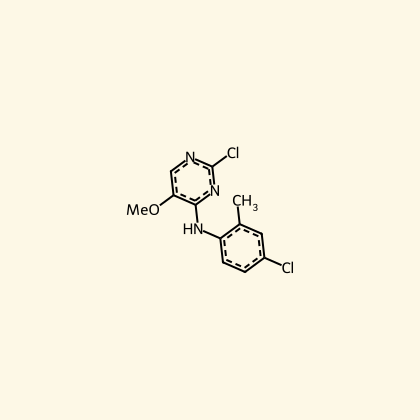 COc1cnc(Cl)nc1Nc1ccc(Cl)cc1C